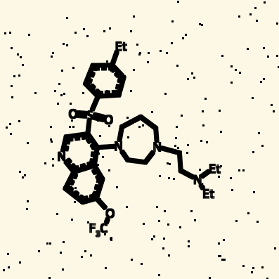 CCc1ccc(S(=O)(=O)c2cnc3ccc(OC(F)(F)F)cc3c2N2CCCN(CCN(CC)CC)CC2)cc1